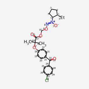 CC[C@@H]1CCCC1/[N+]([O-])=N/OCOC(=O)C(C)(C)Oc1ccc(C(=O)c2ccc(Cl)cc2)cc1